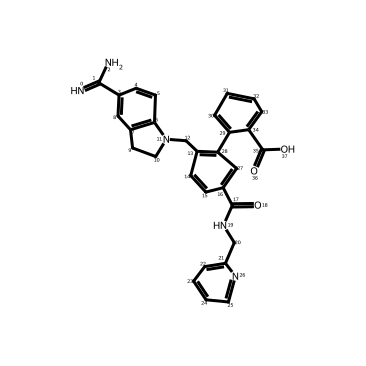 N=C(N)c1ccc2c(c1)CCN2Cc1ccc(C(=O)NCc2ccccn2)cc1-c1ccccc1C(=O)O